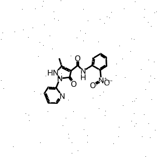 Cc1[nH]n(-c2ccccn2)c(=O)c1C(=O)Nc1ccccc1[N+](=O)[O-]